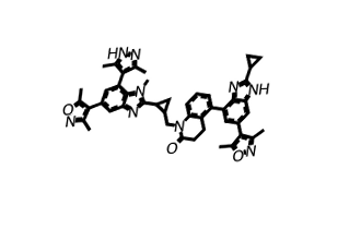 Cc1n[nH]c(C)c1-c1cc(-c2c(C)noc2C)cc2nc(C3CC3CN3C(=O)CCc4c(-c5cc(-c6c(C)noc6C)cc6[nH]c(C7CC7)nc56)cccc43)n(C)c12